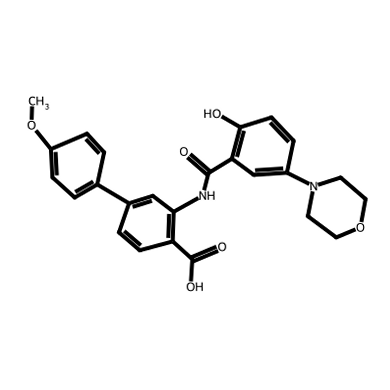 COc1ccc(-c2ccc(C(=O)O)c(NC(=O)c3cc(N4CCOCC4)ccc3O)c2)cc1